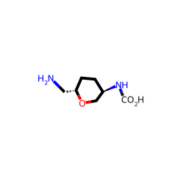 NC[C@@H]1CC[C@@H](NC(=O)O)CO1